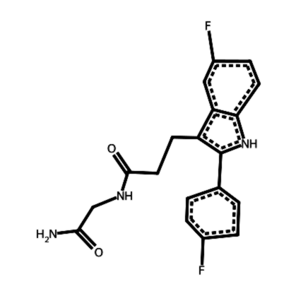 NC(=O)CNC(=O)CCc1c(-c2ccc(F)cc2)[nH]c2ccc(F)cc12